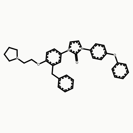 O=c1n(-c2ccc(Oc3ccccc3)cc2)ccn1-c1ccc(OCCN2CCCC2)c(Cc2ccccc2)c1